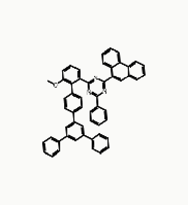 COc1cccc(-c2nc(-c3ccccc3)nc(-c3cc4ccccc4c4ccccc34)n2)c1-c1ccc(-c2cc(-c3ccccc3)cc(-c3ccccc3)c2)cc1